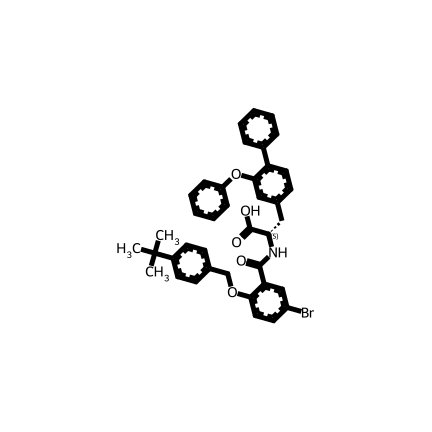 CC(C)(C)c1ccc(COc2ccc(Br)cc2C(=O)N[C@@H](Cc2ccc(-c3ccccc3)c(Oc3ccccc3)c2)C(=O)O)cc1